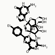 CCc1ccc(-c2nc3c(=O)[nH]c(N)nc3n2[C@]2(N=N[C@@]3(n4cnc5c(=O)[nH]c(N)nc54)O[C@H](CO)[C@@H](O)[C@H]3O)O[C@H](CO)[C@@H](O)[C@H]2O)cc1